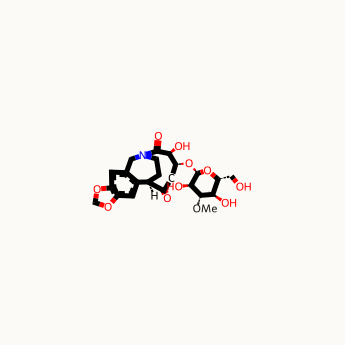 CO[C@@H]1[C@@H](O)[C@H](O[C@@H]2CC(=O)[C@@H]3CCN(Cc4cc5c(cc43)OCO5)C(=O)[C@H]2O)O[C@H](CO)[C@H]1O